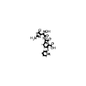 C[n+]1ccccc1SC1=C(C(=O)O)N2C(=O)C(NC(=O)/C(=N\O)c3nc(N)sc3Cl)C2CC1